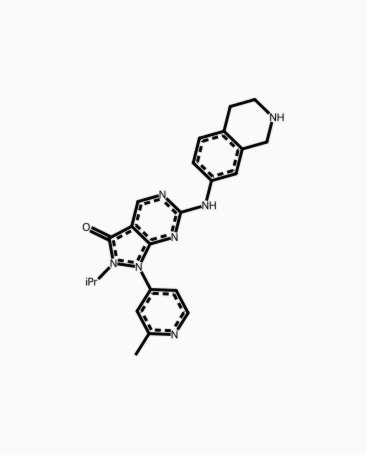 Cc1cc(-n2c3nc(Nc4ccc5c(c4)CNCC5)ncc3c(=O)n2C(C)C)ccn1